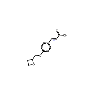 O=C(O)/C=C/c1ccc(OCC2CCO2)cc1